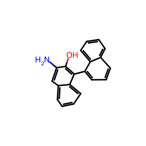 Nc1cc2ccccc2c(-c2cccc3ccccc23)c1O